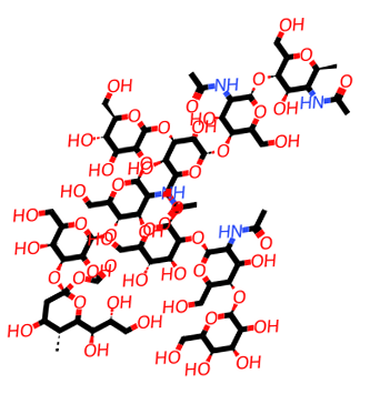 CC(=O)NC1C(O)[C@H](O[C@@H]2OC(CO)[C@H](O)[C@H](O)C2O)C(CO)O[C@H]1OC1[C@@H](OCC2O[C@@H](O[C@@H]3C(CO)O[C@@H](O[C@@H]4C(CO)O[C@@H](C)C(NC(C)=O)[C@H]4O)C(NC(C)=O)[C@H]3O)C(O)[C@@H](OC3O[C@H](CO)[C@@H](O)C(O)C3O[C@@H]3OC(CO)[C@@H](O[C@@H]4OC(CO)[C@H](O)[C@H](O[C@]5(OC=O)CC(O)[C@@H](C)C([C@H](O)[C@H](O)CO)O5)C4O)[C@H](O)C3NC(C)=O)[C@@H]2O)OC(CO)[C@@H](O)[C@@H]1O